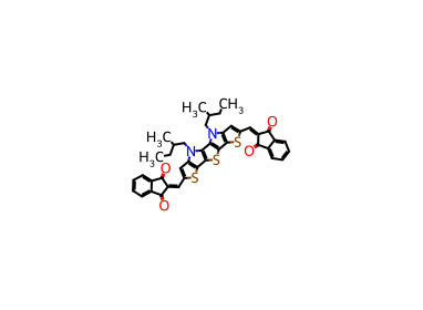 CCC(C)Cn1c2cc(C=C3C(=O)c4ccccc4C3=O)sc2c2sc3c4sc(C=C5C(=O)c6ccccc6C5=O)cc4n(CC(C)CC)c3c21